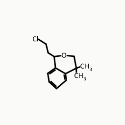 CC1(C)COC(CCCl)c2ccccc21